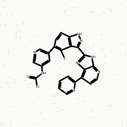 CCC(=O)Nc1cncc(-c2ccc3[nH]nc(-c4nc5c(-c6ccccn6)ccnc5[nH]4)c3c2F)c1